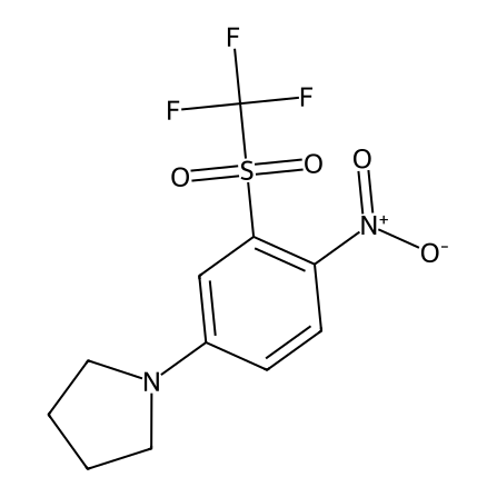 O=[N+]([O-])c1ccc(N2CCCC2)cc1S(=O)(=O)C(F)(F)F